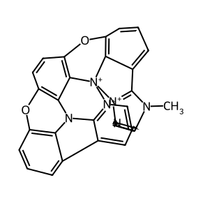 Cn1c2[n+](c3ncccc31)[N+]13c4c(cccc4-2)Oc2ccc4c(c21)-n1c2c(cccc2c2ccc[n+]3c21)O4